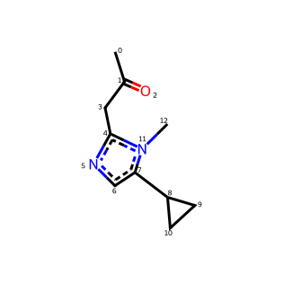 CC(=O)Cc1ncc(C2CC2)n1C